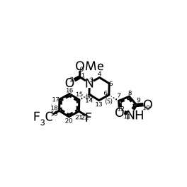 COC(=O)N1CC[C@H](c2cc(=O)[nH]o2)C[C@@H]1c1ccc(C(F)(F)F)cc1F